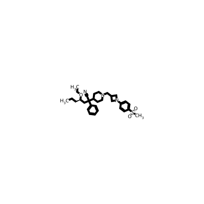 CCC[C@H](CC(C#N)(c1ccccc1)C1CCN(CC2CN(c3ccc(S(C)(=O)=O)cc3)C2)CC1)OCC